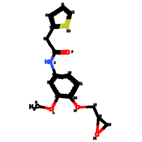 COc1cc(NC(=O)Cc2cccs2)ccc1OCC1CO1